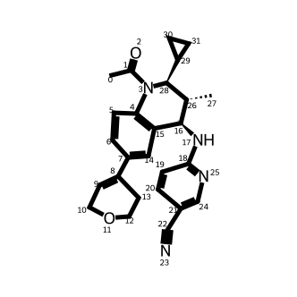 CC(=O)N1c2ccc(C3=CCOCC3)cc2[C@H](Nc2ccc(C#N)cn2)[C@@H](C)[C@@H]1C1CC1